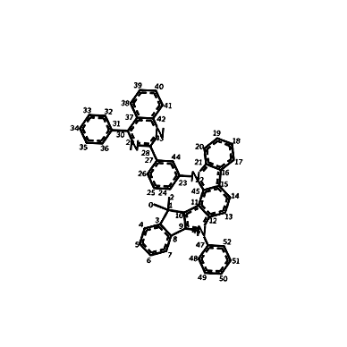 CC1(C)c2ccccc2-c2c1c1c(ccc3c4ccccc4n(-c4cccc(-c5nc(-c6ccccc6)c6ccccc6n5)c4)c31)n2-c1ccccc1